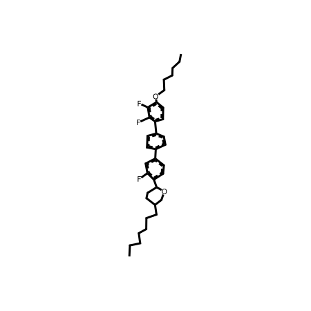 CCCCCCCC1CCC(c2ccc(-c3ccc(-c4ccc(OCCCCCC)c(F)c4F)cc3)cc2F)OC1